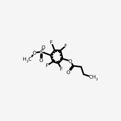 CCCC(=O)Oc1c(F)c(F)c(S(=O)(=O)OC)c(F)c1F